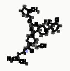 CN(C)C/C=C/C(=O)N1CCN(c2nc(OC[C@H]3CCCN3C)nc3c2CCN(c2cccc(Cl)c2C(F)(F)F)C3)C[C@@H]1CC#N